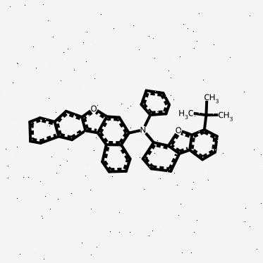 CC(C)(C)c1cccc2c1oc1c(N(c3ccccc3)c3cc4oc5cc6ccccc6cc5c4c4ccccc34)cccc12